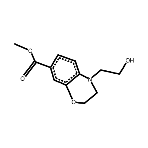 COC(=O)c1ccc2c(c1)OCCN2CCO